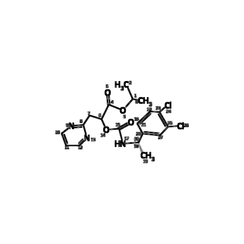 CC(C)OC(=O)C(Cc1ncccn1)OC(=O)N[C@@H](C)c1ccc(Cl)c(Cl)c1